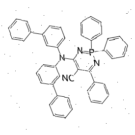 N#CC1=C(N(c2cccc(-c3ccccc3)c2)c2cccc(-c3ccccc3)c2)N=P(c2ccccc2)(c2ccccc2)N=C1c1ccccc1